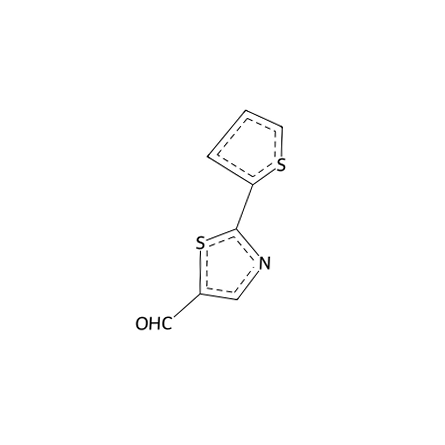 O=Cc1cnc(-c2cccs2)s1